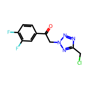 O=C(Cn1nnc(CCl)n1)c1ccc(F)c(F)c1